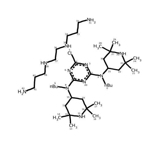 CCCCN(c1nc(Cl)nc(N(CCCC)C2CC(C)(C)NC(C)(C)C2)n1)C1CC(C)(C)NC(C)(C)C1.NCCCNCCNCCCN